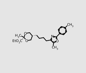 CCOC(=O)[C@]1(C)OC[C@H](CCCCc2nc(-c3ccc(C)cc3)oc2C)CO1